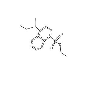 CCOS(=O)(=O)c1ccc(C(C)CC)c2ccccc12